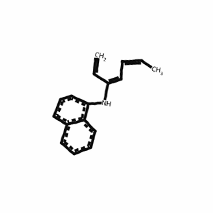 C=C/C(=C\C=C/C)Nc1cccc2ccccc12